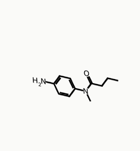 CCCC(=O)N(C)c1ccc(N)cc1